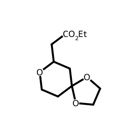 CCOC(=O)CC1CC2(CCO1)OCCO2